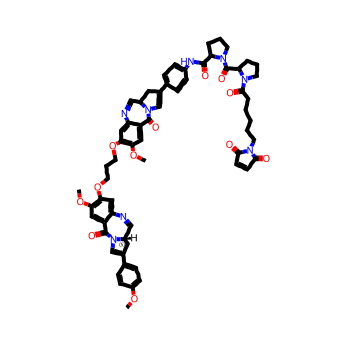 COc1ccc(C2=CN3C(=O)c4cc(OC)c(OCCCOc5cc6c(cc5OC)C(=O)N5C=C(c7ccc(NC(=O)C8CCCN8C(=O)C8CCCN8C(=O)CCCCCN8C(=O)C=CC8=O)cc7)CC5C=N6)cc4N=C[C@@H]3C2)cc1